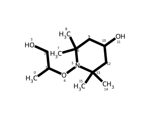 CC(CO)ON1C(C)(C)CC(O)CC1(C)C